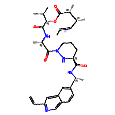 C=Cc1cc2cc([C@@H](C)NC(=O)[C@@H]3CCCN(C(=O)[C@H](C)NC(=O)[C@@H](OC(=O)[C@H](C)[C@H](C)/C=C/C)C(C)C)N3)ccc2cn1